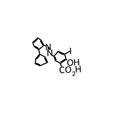 O=C(O)c1cc(N=Nc2ccccc2-c2ccccc2)cc(I)c1O